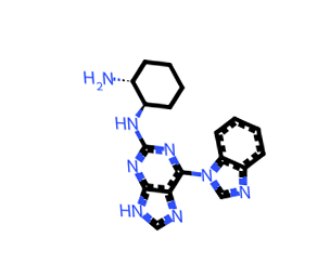 N[C@@H]1CCCC[C@H]1Nc1nc(-n2cnc3ccccc32)c2nc[nH]c2n1